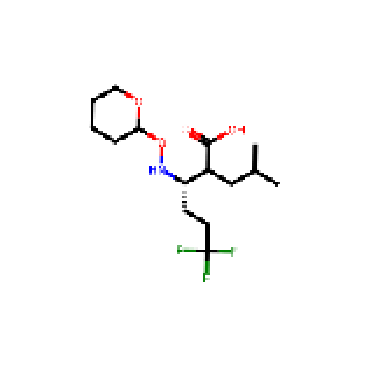 CC(C)CC(C(=O)O)[C@H](CCC(F)(F)F)NOC1CCCCO1